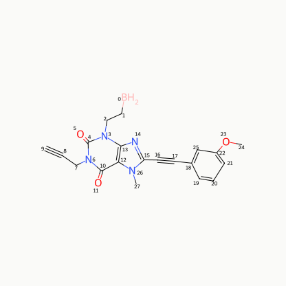 BCCn1c(=O)n(CC#C)c(=O)c2c1nc(C#Cc1cccc(OC)c1)n2C